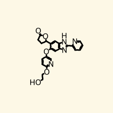 O=C1CCC(c2cc3[nH]c(-c4ccccn4)nc3cc2Oc2ccc(OCCO)nc2)O1